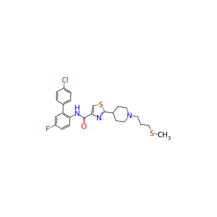 CSCCCN1CCC(c2nc(C(=O)Nc3ccc(F)cc3-c3ccc(Cl)cc3)cs2)CC1